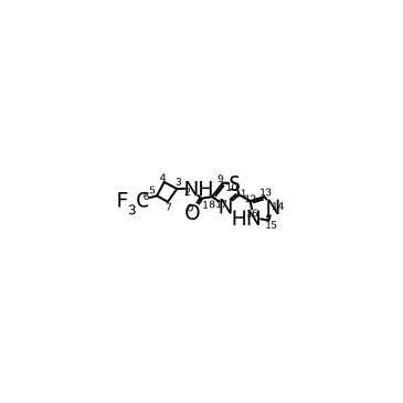 O=C(NC1CC(C(F)(F)F)C1)c1csc(-c2cnc[nH]2)n1